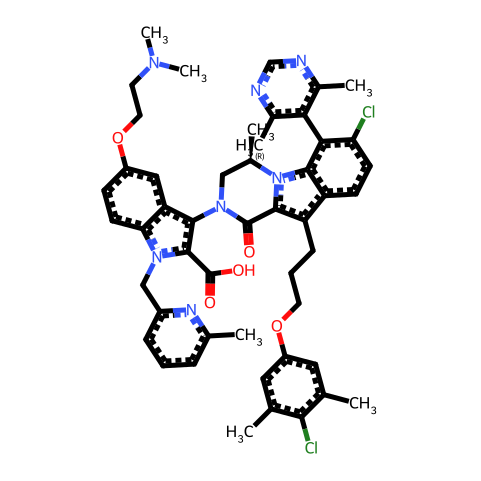 Cc1cccc(Cn2c(C(=O)O)c(N3C[C@@H](C)n4c(c(CCCOc5cc(C)c(Cl)c(C)c5)c5ccc(Cl)c(-c6c(C)ncnc6C)c54)C3=O)c3cc(OCCN(C)C)ccc32)n1